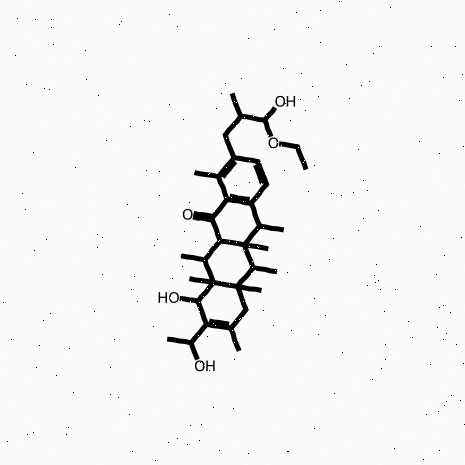 CCOC(O)C(C)Cc1ccc2c(c1C)C(=O)C1C(C)C3(C)C(O)C(C(C)O)=C(C)CC3(C)C(C)C1(C)C2C